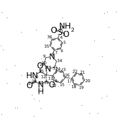 NS(=O)(=O)c1ccc(N2CCN(C3(c4ccc(-c5ccccc5)cc4)C(=O)NC(=O)NC3=O)CC2)cc1